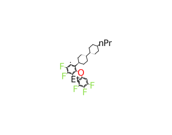 CCC[C@H]1CC[C@H]([C@H]2CC[C@H](c3[c]c(F)c(F)c(CC)c3Oc3cc(F)c(F)c(F)c3)CC2)CC1